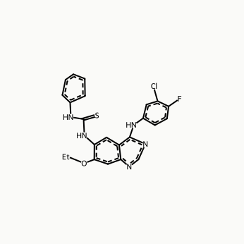 CCOc1cc2ncnc(Nc3ccc(F)c(Cl)c3)c2cc1NC(=S)Nc1ccccc1